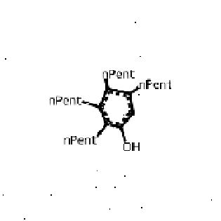 CCCCCc1cc(O)c(CCCCC)c(CCCCC)c1CCCCC